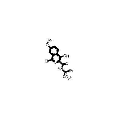 CC(C)Oc1ccc2c(O)c(C(=O)N[C@H](C(=O)O)C(C)C)nc(Cl)c2c1